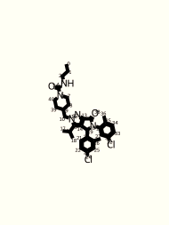 CCCNC(=O)N1CCC(Cn2nc3c(c2C(C)C)C(c2ccc(Cl)cc2C)N(c2cc(Cl)ccc2C)C3=O)CC1